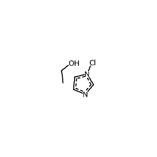 CCO.Cln1ccnc1